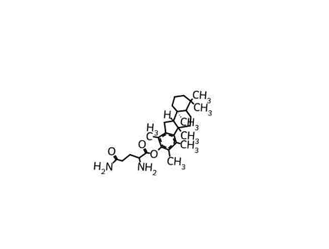 Cc1c(C)c2c(c(C)c1OC(=O)C(N)CCC(N)=O)C[C@H]1C2(C)CCC2C(C)(C)CCC[C@@]21C